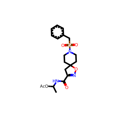 CC(=O)OC(C)NC(=O)C1=NOC2(CCN(S(=O)(=O)Cc3ccccc3)CC2)C1